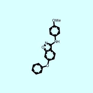 COc1ccc(Nc2noc3cc(Oc4ccccc4)ccc23)cc1